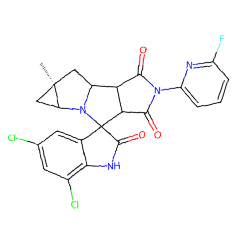 C[C@]12CC3C4C(=O)N(c5cccc(F)n5)C(=O)C4C4(C(=O)Nc5c(Cl)cc(Cl)cc54)N3C1C2